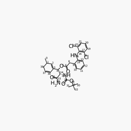 CC1C=C([C@@H](OC(=O)Cc2ccccc2Nc2c(Cl)cccc2Cl)[C@H](NC(=O)OC(C)(C)C)C(N)=O)C=CC1